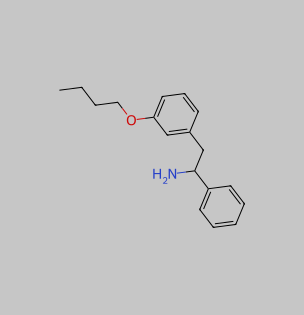 CCCCOc1cccc(CC(N)c2ccccc2)c1